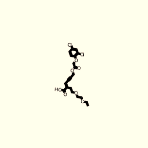 CCOCCOCC/C(=C\C#CCOC(=O)COc1ccc(Cl)cc1Cl)C(=O)O